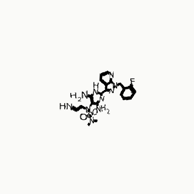 CN(C)S(=O)(=O)N(CC=N)C1=C(N)NC(c2nn(Cc3ccccc3F)c3ncccc23)N=C1N